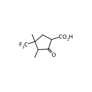 CC1C(=O)C(C(=O)O)CC1(C)C(F)(F)F